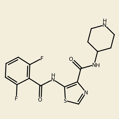 O=C(NC1CCNCC1)c1ncsc1NC(=O)c1c(F)cccc1F